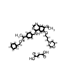 COc1cc2ncnc(Nc3ccc(C(C)=NOCc4ccccc4)cc3)c2cc1OCCCN1CCOCC1.O=C(O)C=CC(=O)O